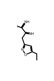 CCc1cc(CC(=N)C(=N)I)no1